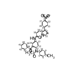 CC(=O)N(c1ccc(C)cc1)c1ccc(NC(=O)/C=C\c2ncsc2-c2ccc([N+](=O)[O-])cc2)cc1C(=O)c1ccccc1